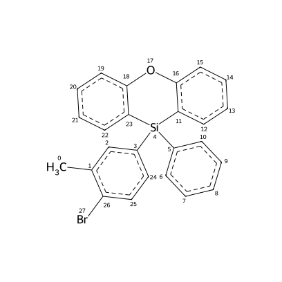 Cc1cc([Si]2(c3ccccc3)c3ccccc3Oc3ccccc32)ccc1Br